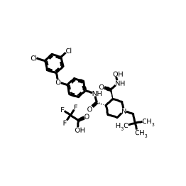 CC(C)(C)CN1CC[C@H](C(=O)Nc2ccc(Oc3cc(Cl)cc(Cl)c3)cc2)[C@@H](C(=O)NO)C1.O=C(O)C(F)(F)F